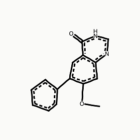 COc1cc2nc[nH]c(=O)c2cc1-c1ccccc1